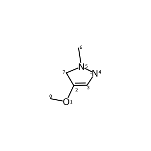 COC1=C[N]N(C)C1